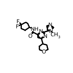 Cn1cncc1-c1nc(C(=O)NC2CCC(F)(F)CC2)cc(C2CCOCC2)n1